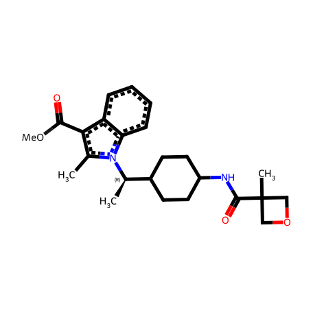 COC(=O)c1c(C)n([C@H](C)C2CCC(NC(=O)C3(C)COC3)CC2)c2ccccc12